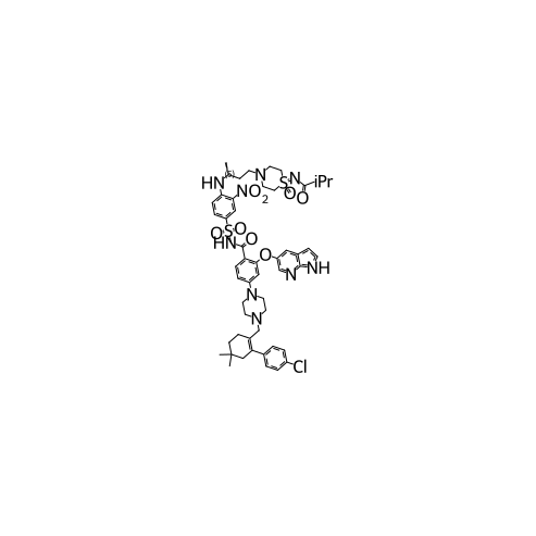 CC(C)C(=O)N=S1(=O)CCN(CC[C@H](C)Nc2ccc(S(=O)(=O)NC(=O)c3ccc(N4CCN(CC5=C(c6ccc(Cl)cc6)CC(C)(C)CC5)CC4)cc3Oc3cnc4[nH]ccc4c3)cc2[N+](=O)[O-])CC1